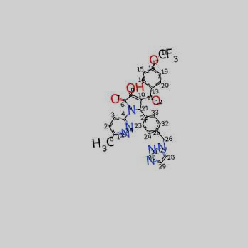 Cc1ccc(N2C(=O)C(O)=C(C(=O)c3ccc(OC(F)(F)F)cc3)C2c2ccc(Cn3ccnn3)cc2)nn1